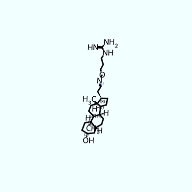 C[C@]12CC[C@H](O)C[C@H]1CC[C@@H]1[C@@H]2CC[C@]2(C)[C@@H](C/C=N/OCCCNC(=N)N)CC[C@@H]12